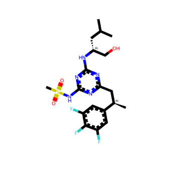 CC(C)C[C@H](CO)Nc1nc(C[C@@H](C)c2cc(F)c(F)c(F)c2)nc(NS(C)(=O)=O)n1